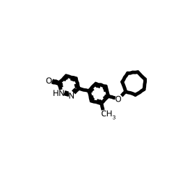 Cc1cc(-c2ccc(=O)[nH]n2)ccc1OC1CCCCCC1